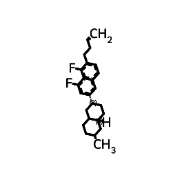 C=CCCc1ccc2cc([C@@H]3CC[C@@H]4CC(C)CCC4C3)cc(F)c2c1F